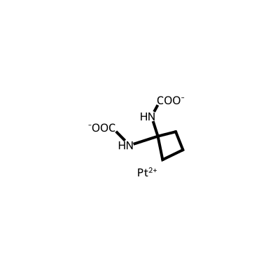 O=C([O-])NC1(NC(=O)[O-])CCC1.[Pt+2]